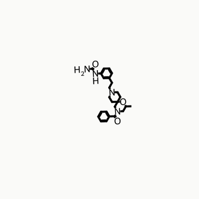 CC1CN(C(=O)c2ccccc2)CC2(CCN(CCc3cccc(NC(N)=O)c3)CC2)O1